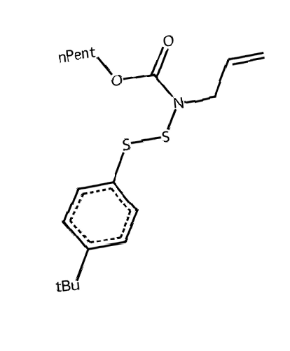 C=CCN(SSc1ccc(C(C)(C)C)cc1)C(=O)OCCCCC